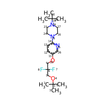 CC(C)(C)OCC(F)(F)COc1ccc(N2CCN(C(C)(C)C)CC2)nc1